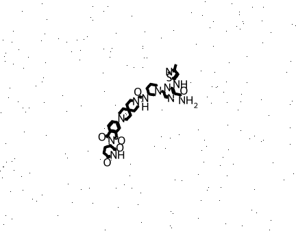 Cc1cc(Nc2nc(N3CCCC(NC(=O)N4CCC5(CC4)CCN(c4ccc6c(c4)C(=O)N(C4CCC(=O)NC4=O)C6=O)CC5)C3)cnc2C(N)=O)sn1